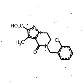 Cc1c(C(=O)O)nn2c1C(=O)N(Cc1ccccc1Cl)CC2